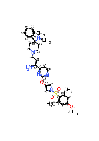 COc1cc(C)c(S(=O)(=O)N2CC(Oc3nccc(C(N)CCN4CCC(c5ccccc5)(N(C)C)CC4)n3)C2)c(C)c1